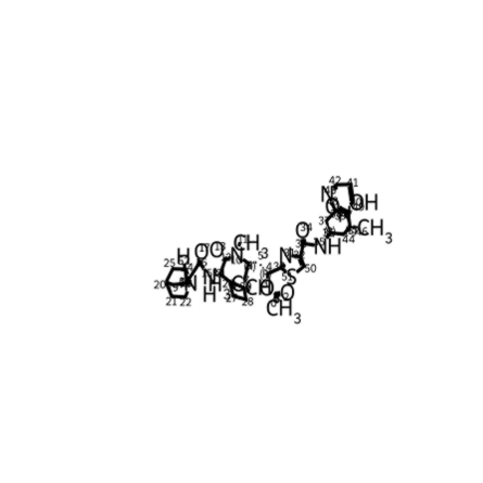 CC(=O)O[C@H](C[C@H](C(C)C)N(C)C(=O)[C@@H](NC(=O)[C@H]1CC2CCN1CC2)C1CCC1)c1nc(C(=O)N[C@@H](Cc2ncccn2)C[C@H](C)C(=O)O)cs1